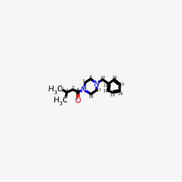 CC(C)CC(=O)N1CCN(Cc2ccccc2)CC1